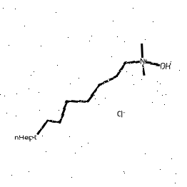 CCCCCCCCCCCCCC[N+](C)(C)O.[Cl-]